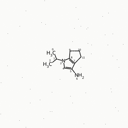 CC(C)n1cc(N)c2c1CCC2